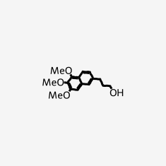 COc1cc2cc(CCCO)ccc2c(OC)c1OC